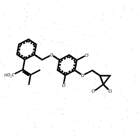 CC(C)=C(C(=O)O)c1ccccc1COc1cc(Cl)c(OCC2CC2(Cl)Cl)c(Cl)c1